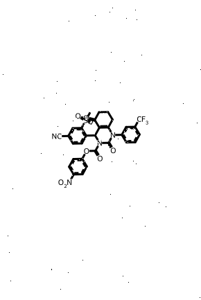 CS(=O)(=O)c1cc(C#N)ccc1C1C2=C(CCCC2=O)N(c2cccc(C(F)(F)F)c2)C(=O)N1C(=O)Oc1ccc([N+](=O)[O-])cc1